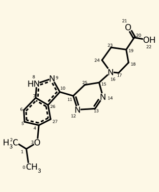 CC(C)Oc1ccc2[nH]nc(C3=NC=NC(N4CCC(C(=O)O)CC4)C3)c2c1